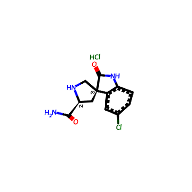 Cl.NC(=O)[C@@H]1C[C@@]2(CN1)C(=O)Nc1ccc(Cl)cc12